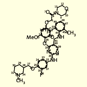 COc1cc(OCC(=O)N2CCOCC2)ccc1Oc1nc(Nc2ccc(OCC3CCCN(C)C3)c(F)c2)ncc1C(=O)Nc1c(C)cccc1C